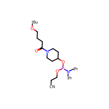 CC(C)N(C(C)C)P(OCCC#N)OC1CCN(C(=O)CCCOC(C)(C)C)CC1